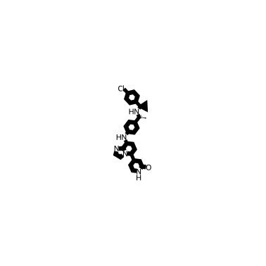 C[C@@H](NC1(c2ccc(Cl)cc2)CC1)c1ccc(Nc2ccc(-c3cc[nH]c(=O)c3)n3ccnc23)cc1